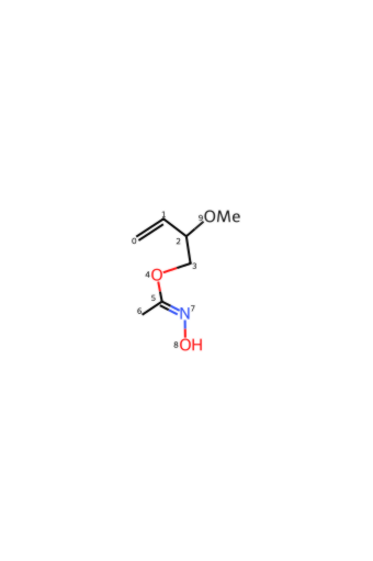 C=CC(COC(C)=NO)OC